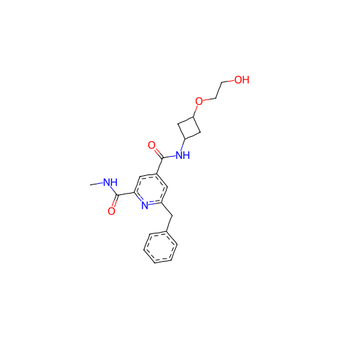 CNC(=O)c1cc(C(=O)NC2CC(OCCO)C2)cc(Cc2ccccc2)n1